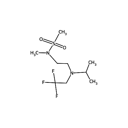 CC(C)N(CCN(C)S(C)(=O)=O)CC(F)(F)F